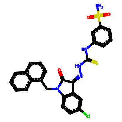 NS(=O)(=O)c1cccc(NC(=S)NN=C2C(=O)N(Cc3cccc4ccccc34)c3ccc(Cl)cc32)c1